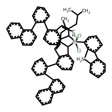 CC(C)CC1=Cc2c(-c3ccccc3-c3cccc4ccccc34)cccc2[CH]1[Zr]([Cl])([Cl])([c]1cccc2c1[SiH2]c1ccccc1-2)[CH]1C(CC(C)C)=Cc2c(-c3ccccc3-c3cccc4ccccc34)cccc21